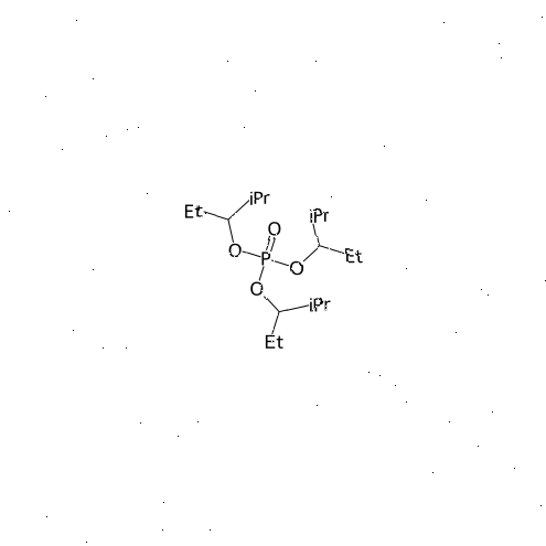 CCC(OP(=O)(OC(CC)C(C)C)OC(CC)C(C)C)C(C)C